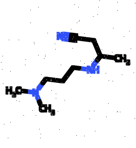 CC(CC#N)NCCCN(C)C